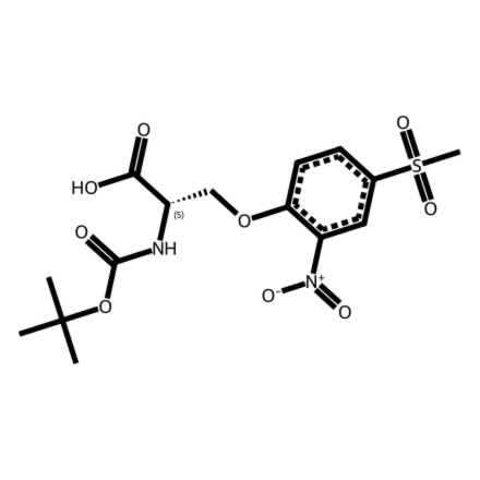 CC(C)(C)OC(=O)N[C@@H](COc1ccc(S(C)(=O)=O)cc1[N+](=O)[O-])C(=O)O